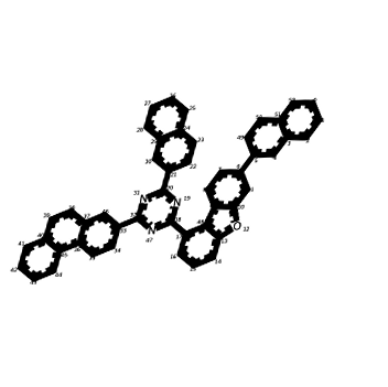 c1ccc2cc(-c3ccc4c(c3)oc3cccc(-c5nc(-c6ccc7ccccc7c6)nc(-c6ccc7c(ccc8ccccc87)c6)n5)c34)ccc2c1